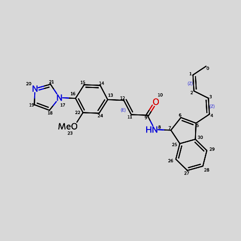 C/C=C\C=C/C1=CC(NC(=O)/C=C/c2ccc(-n3ccnc3)c(OC)c2)c2ccccc21